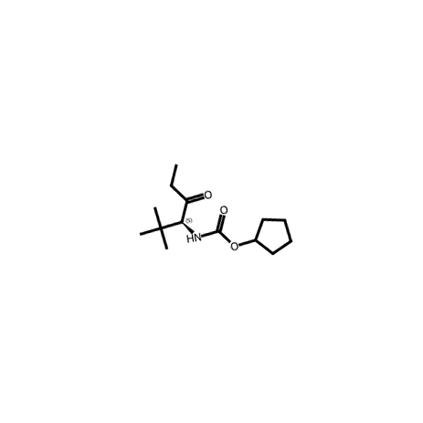 CCC(=O)[C@@H](NC(=O)OC1CCCC1)C(C)(C)C